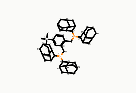 C[Si](C)(C)c1ccc(CP(C2C3CC4CC(C3)CC2C4)C2C3CC4CC(C3)CC2C4)c(CP(C2C3CC4CC(C3)CC2C4)C2C3CC4CC(C3)CC2C4)c1